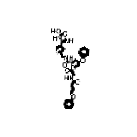 N=C(NC(=O)O)c1csc(CNC(=O)[C@@H]2C[C@@H](Oc3ccccc3)CN2C(=O)CNC(=O)CCCOc2ccccc2)c1